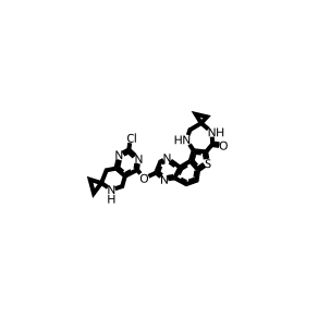 O=C1NC2(CC2)CNc2c1sc1ccc3nc(Oc4nc(Cl)nc5c4CNC4(CC4)C5)cnc3c21